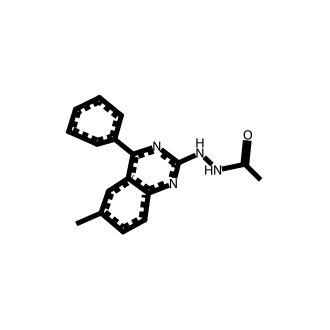 CC(=O)NNc1nc(-c2ccccc2)c2cc(C)ccc2n1